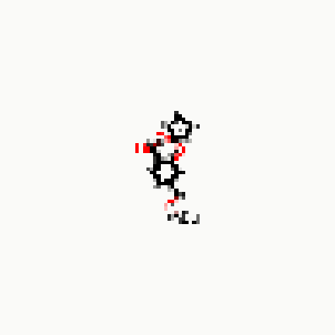 CCCCOCc1ccc2c(c1)OC1(CCCC1)OC2=O